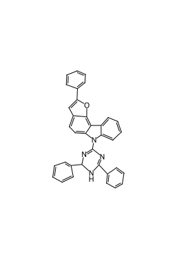 c1ccc(C2=NC(n3c4ccccc4c4c5oc(-c6ccccc6)cc5ccc43)=NC(c3ccccc3)N2)cc1